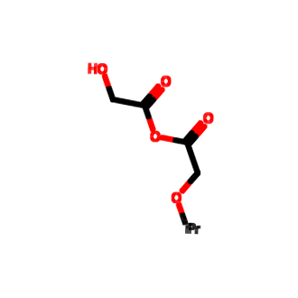 CC(C)OCC(=O)OC(=O)CO